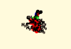 CCCCOCC1OC(OCCCCCN(Cc2ccccc2)C(=O)OCc2ccccc2)[C@@H](OCCCC)C(OC2OC(CO[C@]3(C(=O)OC)C[C@H]4OC(=O)N(C(C)=O)[C@H]4C([C@H](OC(C)=O)[C@@H](COC(C)=O)OC(C)=O)O3)[C@@H](OCCCC)C(O)[C@@H]2NC(=O)OCC(Cl)(Cl)Cl)[C@H]1OCCCC